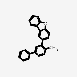 Cc1ccc(-c2ccccc2)cc1-c1ccc2oc3ccccc3c2c1